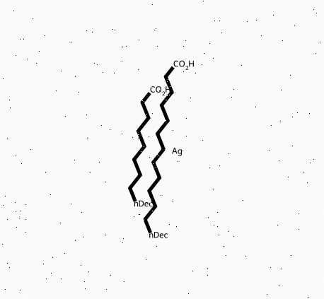 CCCCCCCCCCCCCCCCCC(=O)O.CCCCCCCCCCCCCCCCCCCCCC(=O)O.[Ag]